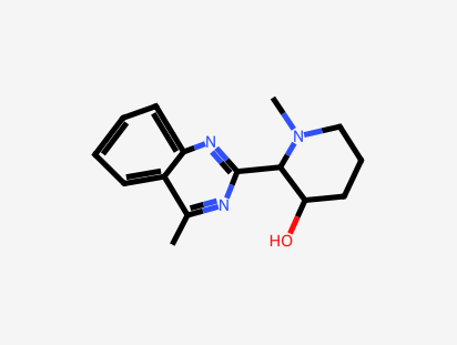 Cc1nc(C2C(O)CCCN2C)nc2ccccc12